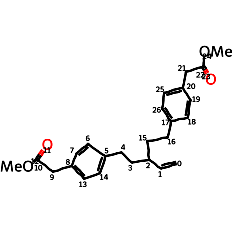 C=CC(CCc1ccc(CC(=O)OC)cc1)CCc1ccc(CC(=O)OC)cc1